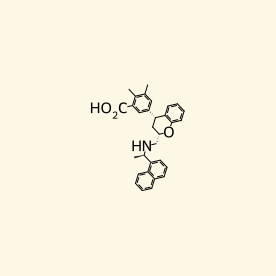 Cc1cc([C@H]2C[C@@H](CN[C@H](C)c3cccc4ccccc34)Oc3ccccc32)cc(C(=O)O)c1C